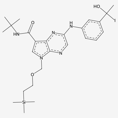 CC(C)(C)NC(=O)c1cn(COCC[Si](C)(C)C)c2ncc(Nc3cccc(C(C)(O)I)c3)nc12